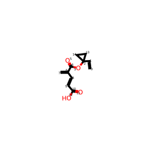 C=CC1(OC(=O)C(=C)C=CC(=O)O)CC1